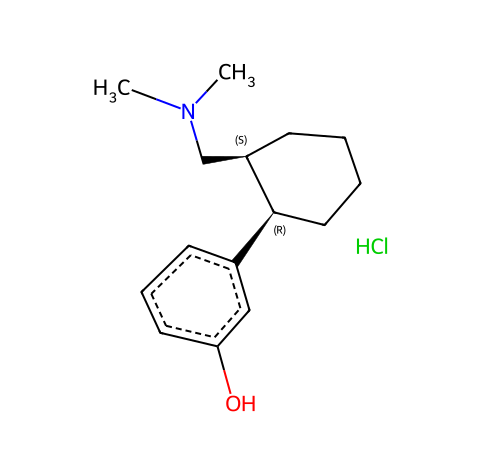 CN(C)C[C@H]1CCCC[C@H]1c1cccc(O)c1.Cl